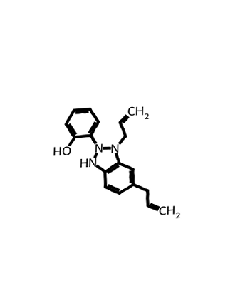 C=CCc1ccc2c(c1)N(CC=C)N(c1ccccc1O)N2